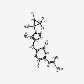 CCC1(c2nsc(Oc3cc(C)c(N=C(NC)C(C)C)cc3Cl)c2C#N)C(C)C1(Cl)Cl